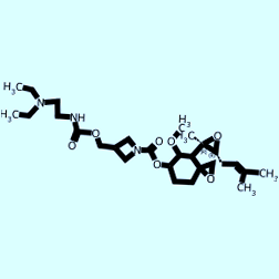 CCN(CC)CCNC(=O)OCC1CN(C(=O)OC2CCC3(CO3)C([C@@]3(C)O[C@@H]3CC=C(C)C)C2OC)C1